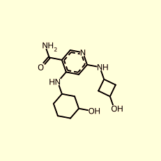 NC(=O)c1cnc(NC2CC(O)C2)cc1NC1CCCC(O)C1